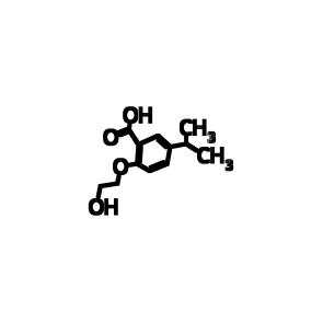 CC(C)c1ccc(OCCO)c(C(=O)O)c1